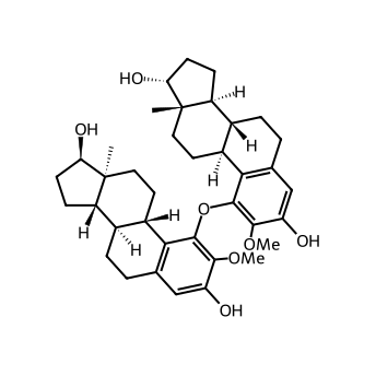 COc1c(O)cc2c(c1Oc1c(OC)c(O)cc3c1[C@H]1CC[C@]4(C)[C@H](O)CC[C@H]4[C@@H]1CC3)[C@H]1CC[C@]3(C)[C@H](O)CC[C@H]3[C@@H]1CC2